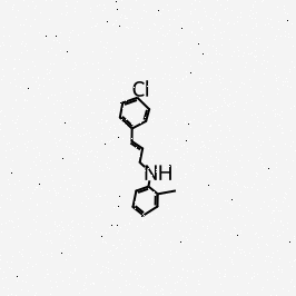 Cc1ccccc1NCC=Cc1ccc(Cl)cc1